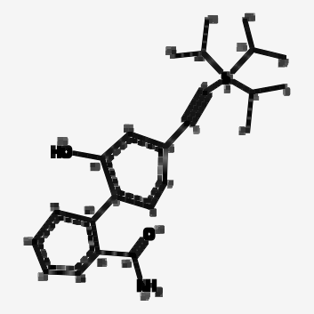 CC(C)[Si](C#Cc1ccc(-c2ccccc2C(N)=O)c(O)c1)(C(C)C)C(C)C